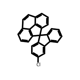 Clc1ccc2c(c1)-c1ccccc1C21c2cccc3ccc4cccc1c4c23